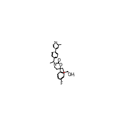 Cc1cc(-c2ccc(C(C)N3CCC(CCCO)(c4ccc(F)cc4)OC3=O)cc2)ccn1